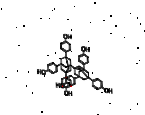 Oc1ccc(C23CC4(c5ccc(O)cc5)CC(c5ccc(O)cc5)(C2)CC(C25CC6(c7ccc(O)cc7)CC(c7ccc(O)cc7)(CC(c7ccc(O)cc7)(C6)C2)C5)(C3)C4)cc1